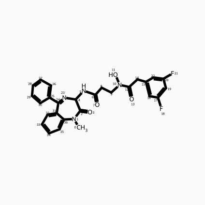 CN1C(=O)C(NC(=O)CCN(O)C(=O)Cc2cc(F)cc(F)c2)N=C(c2ccccc2)c2ccccc21